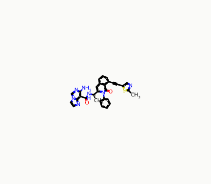 Cc1ncc(C#Cc2cccc3cc([C@@H](C)NC(=O)c4c(N)ncn5ccnc45)n(-c4ccccc4)c(=O)c23)s1